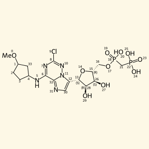 COC1CCC(Nc2nc(Cl)nn3c([C@@H]4O[C@H](COP(=O)(O)CP(=O)(O)O)[C@@H](O)[C@H]4O)cnc23)C1